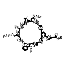 CNC(=O)CC1NC(=O)c2csc(n2)-c2ccc(-c3nc(C(=O)N=[N+]=[N-])cs3)nc2-c2csc(n2)-c2csc(n2)C(C(O)c2ccccc2)NC(=O)CNC(=O)c2nc(sc2COC)C(C(C)C)NC(=O)c2nc1sc2C